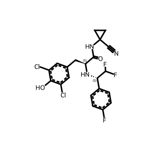 N#CC1(NC(=O)[C@H](Cc2cc(Cl)c(O)c(Cl)c2)N[C@@H](c2ccc(F)cc2)C(F)F)CC1